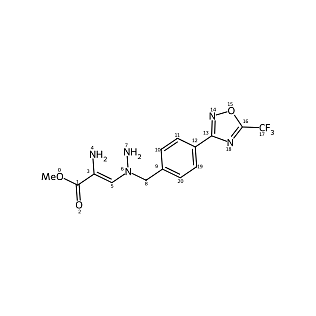 COC(=O)/C(N)=C/N(N)Cc1ccc(-c2noc(C(F)(F)F)n2)cc1